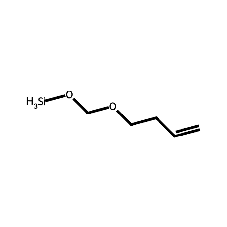 C=CCCOCO[SiH3]